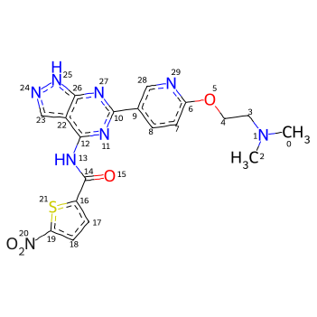 CN(C)CCOc1ccc(-c2nc(NC(=O)c3ccc([N+](=O)[O-])s3)c3cn[nH]c3n2)cn1